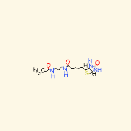 C=CC(=O)NCCCNC(=O)CCCC[C@@H]1SC[C@@H]2NC(=O)N[C@@H]21